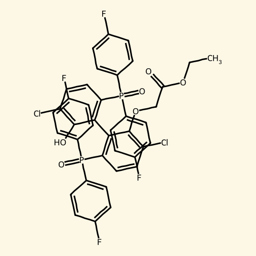 CCOC(=O)COc1c(Cl)ccc(P(=O)(c2ccc(F)cc2)c2ccc(F)cc2)c1-c1c(P(=O)(c2ccc(F)cc2)c2ccc(F)cc2)ccc(Cl)c1O